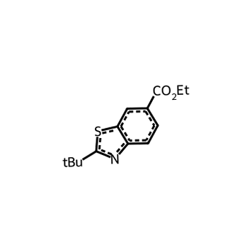 CCOC(=O)c1ccc2nc(C(C)(C)C)sc2c1